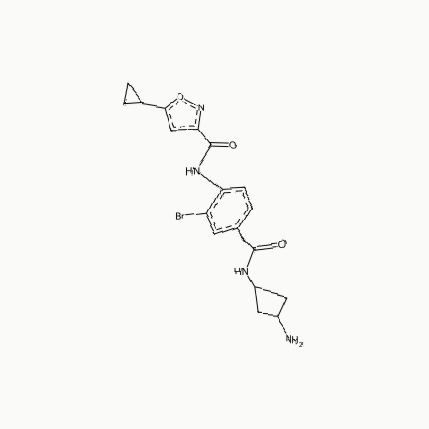 NC1CC(NC(=O)c2ccc(NC(=O)c3cc(C4CC4)on3)c(Br)c2)C1